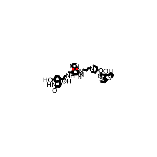 O=C(OC1CCN(CCCn2nnc3cc(CNC[C@H](O)c4ccc(O)c5[nH]c(=O)ccc45)c4c(c32)N2CCN4CC2)CC1)C(O)(c1cccs1)c1cccs1